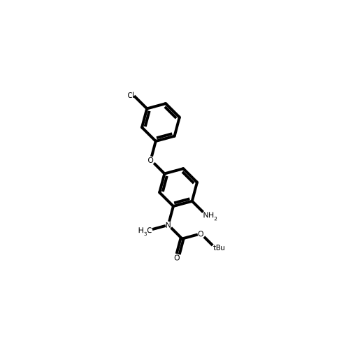 CN(C(=O)OC(C)(C)C)c1cc(Oc2cccc(Cl)c2)ccc1N